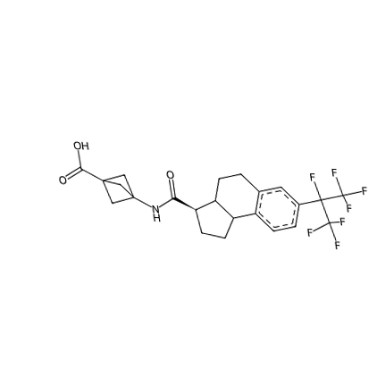 O=C(NC12CC(C(=O)O)(C1)C2)[C@@H]1CCC2c3ccc(C(F)(C(F)(F)F)C(F)(F)F)cc3CCC21